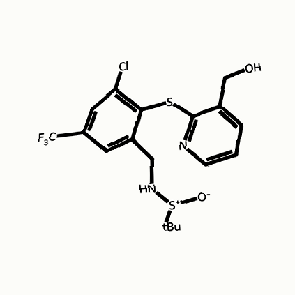 CC(C)(C)[S+]([O-])NCc1cc(C(F)(F)F)cc(Cl)c1Sc1ncccc1CO